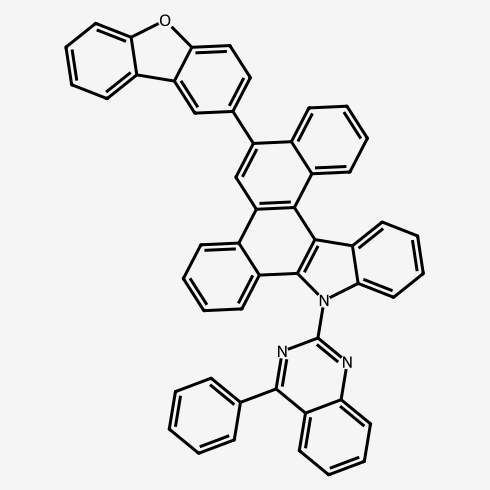 c1ccc(-c2nc(-n3c4ccccc4c4c5c6ccccc6c(-c6ccc7oc8ccccc8c7c6)cc5c5ccccc5c43)nc3ccccc23)cc1